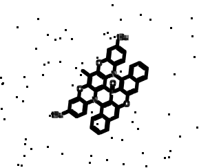 Cc1c2oc3cc(C(C)(C)C)ccc3n3c2c2c4c1oc1cc(C(C)(C)C)ccc1n4-c1c4c(cc5ccccc15)Oc1cc5ccccc5c-3c1P42=O